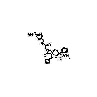 COc1ncc(CNC(=O)CN2CC3(CCC(c4ccccc4)(N(C)C)CC3)N(CC3CCC3)C2=O)cn1